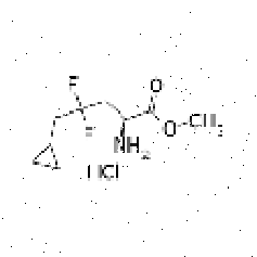 COC(=O)[C@@H](N)CC(F)(F)CC1CC1.Cl